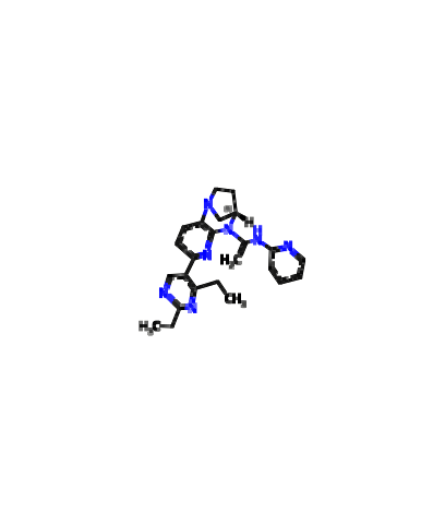 C=C(Nc1ccccn1)N1c2nc(-c3cnc(CC)nc3CC)ccc2N2CC[C@H]1C2